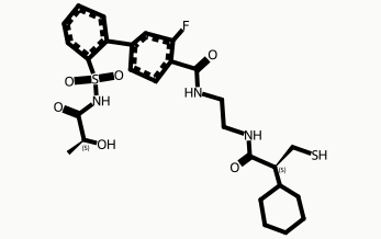 C[C@H](O)C(=O)NS(=O)(=O)c1ccccc1-c1ccc(C(=O)NCCNC(=O)[C@@H](CS)C2CCCCC2)c(F)c1